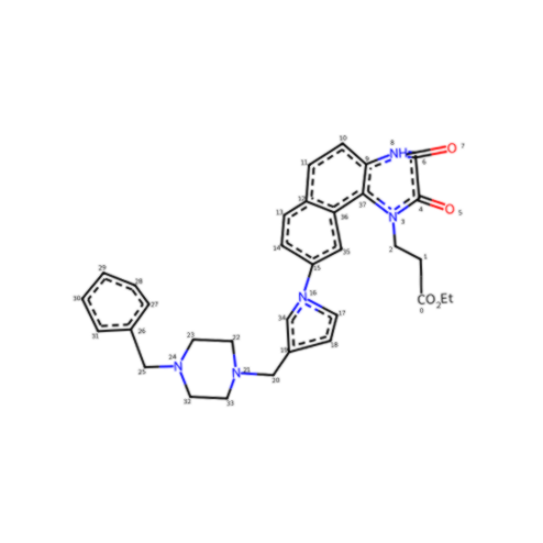 CCOC(=O)CCn1c(=O)c(=O)[nH]c2ccc3ccc(-n4ccc(CN5CCN(Cc6ccccc6)CC5)c4)cc3c21